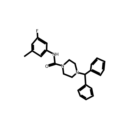 Cc1cc(F)cc(NC(=O)N2CCN(C(c3ccccc3)c3ccccc3)CC2)c1